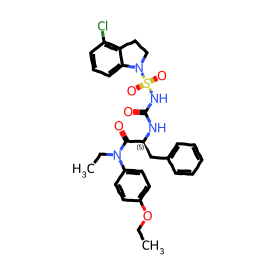 CCOc1ccc(N(CC)C(=O)[C@H](Cc2ccccc2)NC(=O)NS(=O)(=O)N2CCc3c(Cl)cccc32)cc1